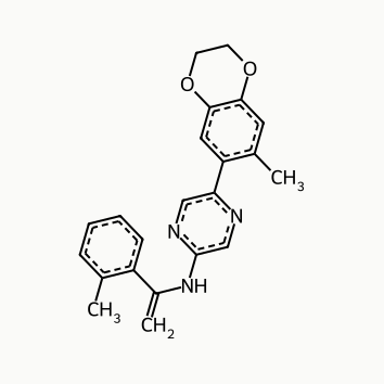 C=C(Nc1cnc(-c2cc3c(cc2C)OCCO3)cn1)c1ccccc1C